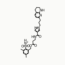 Cc1cc(C)c(S(N)(=O)=O)c(COC(=O)CCNC(=O)c2cnn(CCCc3ccc4c(n3)NCCC4)c2)c1